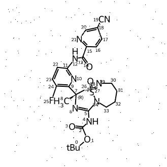 CC(C)(C)OC(=O)NC1=N[C@](C)(c2nc(NC(=O)c3ccc(C#N)cn3)ccc2F)C[S@]2(=O)=NCCCCN12